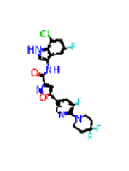 O=C(Nc1c[nH]c2c(Cl)cc(F)cc12)c1cc(-c2cnc(N3CCC(F)(F)CC3)c(F)c2)on1